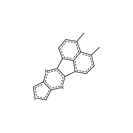 Cc1ccc2c3c(ccc(C)c13)-c1nc3cscc3nc1-2